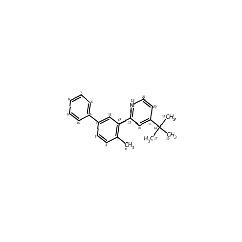 Cc1ccc(-c2ccccc2)cc1-c1cc(C(C)(C)C)ccn1